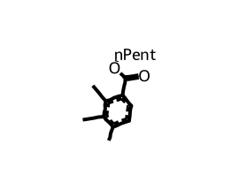 CCCCCOC(=O)c1ccc(C)c(C)c1C